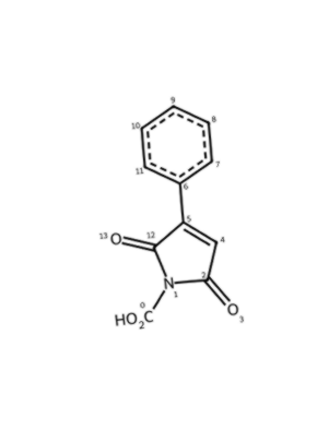 O=C(O)N1C(=O)C=C(c2ccccc2)C1=O